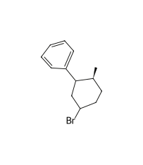 C[C@H]1CCC(Br)CC1c1ccccc1